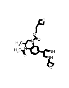 CC(=O)N1c2ccc(/C(C=N)=C/NC3COC3)cc2N(C(=O)OCCC2COC2)CC1C